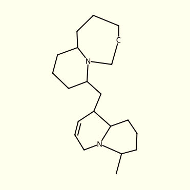 CC1CCCC2C(CC3CCCC4CCCCCN43)C=CCN12